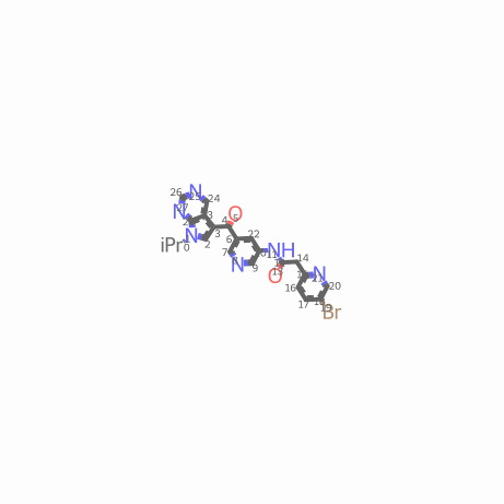 CC(C)n1cc(C(=O)c2cncc(NC(=O)Cc3ccc(Br)cn3)c2)c2cncnc21